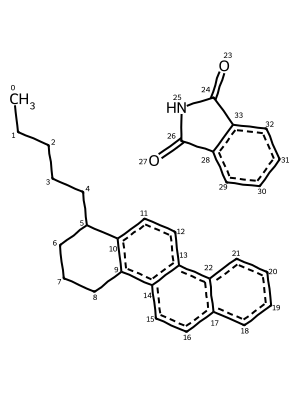 CCCCCC1CCCc2c1ccc1c2ccc2ccccc21.O=C1NC(=O)c2ccccc21